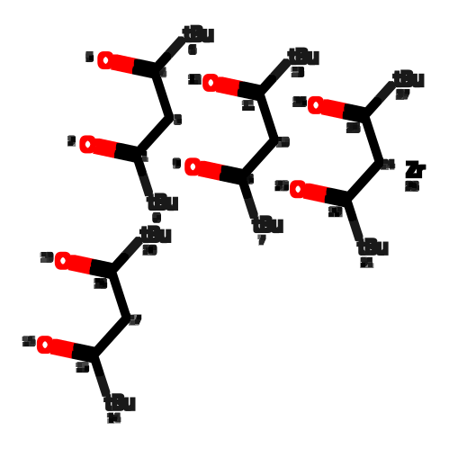 CC(C)(C)C(=O)CC(=O)C(C)(C)C.CC(C)(C)C(=O)CC(=O)C(C)(C)C.CC(C)(C)C(=O)CC(=O)C(C)(C)C.CC(C)(C)C(=O)CC(=O)C(C)(C)C.[Zr]